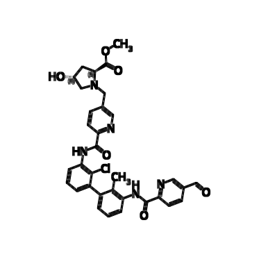 COC(=O)[C@@H]1C[C@@H](O)CN1Cc1ccc(C(=O)Nc2cccc(-c3cccc(NC(=O)c4ccc(C=O)cn4)c3C)c2Cl)nc1